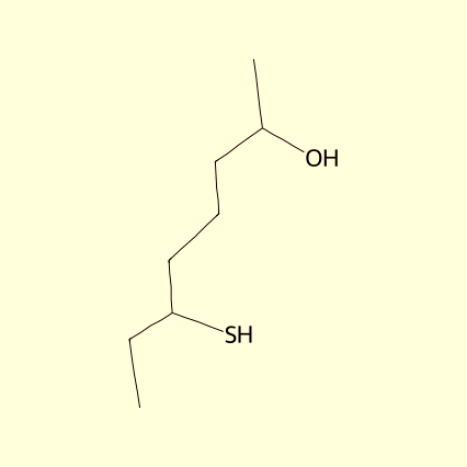 CCC(S)CCCC(C)O